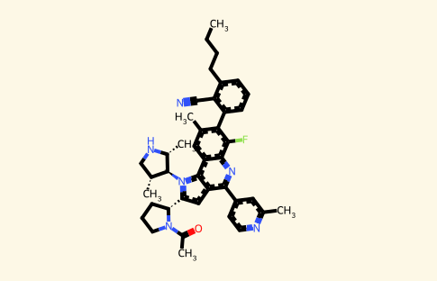 CCCCc1cccc(-c2c(C)cc3c(nc(-c4ccnc(C)c4)c4cc([C@H]5CCCN5C(C)=O)n([C@H]5[C@H](C)CN[C@@H]5C)c43)c2F)c1C#N